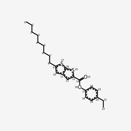 CCCCCCCCCc1cc2cc(C(=O)Oc3ccc(CC)cc3)sc2s1